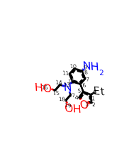 CCc1cocc1-c1cc(N)ccc1N(CCO)CCO